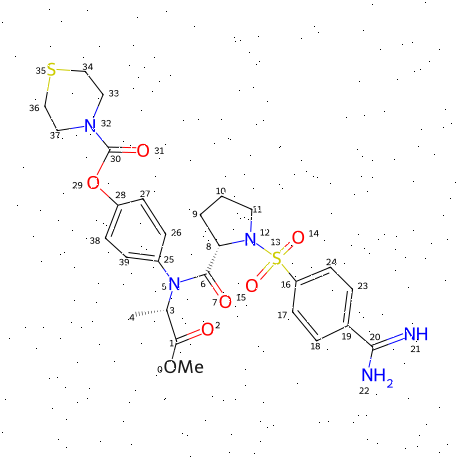 COC(=O)[C@H](C)N(C(=O)[C@@H]1CCCN1S(=O)(=O)c1ccc(C(=N)N)cc1)c1ccc(OC(=O)N2CCSCC2)cc1